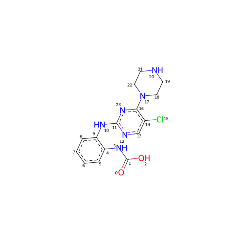 O=C(O)Nc1ccccc1Nc1ncc(Cl)c(N2CCNCC2)n1